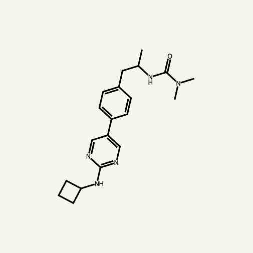 CC(Cc1ccc(-c2cnc(NC3CCC3)nc2)cc1)NC(=O)N(C)C